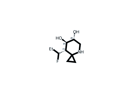 CCC(F)[C@@H]1[C@@H](O)[C@H](O)CNC12CC2